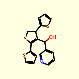 OC(C1=C(c2cccs2)SCC1c1cccs1)c1cccnc1